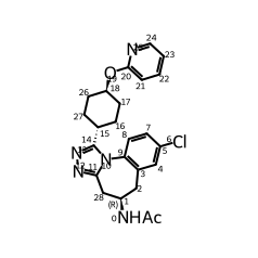 CC(=O)N[C@@H]1Cc2cc(Cl)ccc2-n2c(nnc2[C@H]2CC[C@H](Oc3ccccn3)CC2)C1